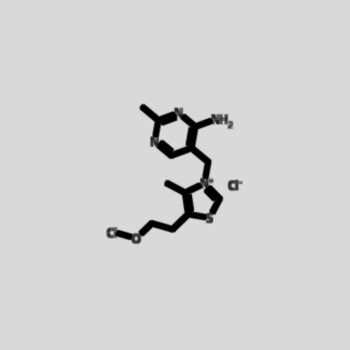 Cc1ncc(C[n+]2csc(CCOCl)c2C)c(N)n1.[Cl-]